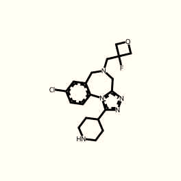 FC1(CN2Cc3cc(Cl)ccc3-n3c(nnc3C3CCNCC3)C2)COC1